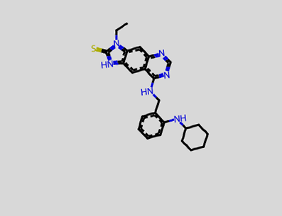 CCn1c(=S)[nH]c2cc3c(NCc4ccccc4NC4CCCCC4)ncnc3cc21